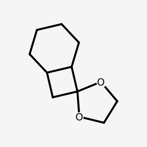 C1CCC2C(C1)CC21OCCO1